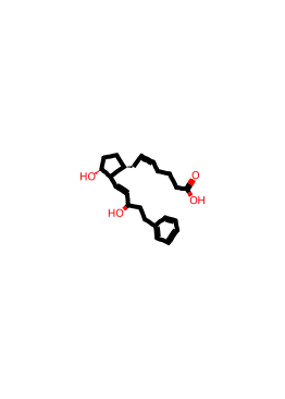 O=C(O)CCC/C=C\C[C@H]1CC[C@@H](O)C1/C=C/C(O)CCc1ccccc1